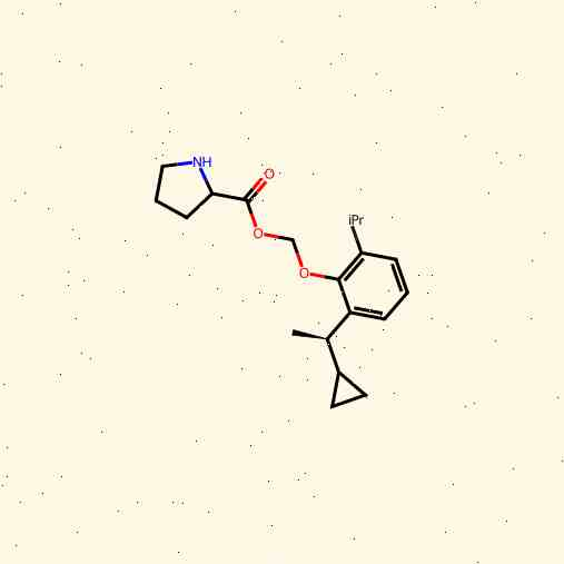 CC(C)c1cccc([C@H](C)C2CC2)c1OCOC(=O)C1CCCN1